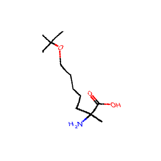 CC(C)(C)OCCCCCC(C)(N)C(=O)O